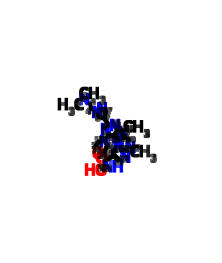 CN(C)CCn1cc(-c2nc(N3CCOCC3)c3nc(CN(C)c4ncc(C(=O)NO)cn4)n(C)c3n2)cn1